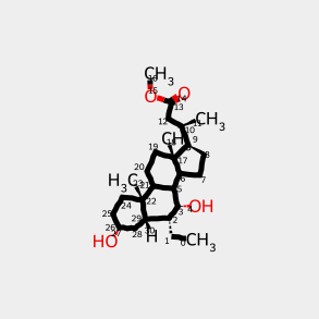 CC[C@H]1[C@@H](O)C2C3CC[C@H]([C@H](C)CC(=O)OC)[C@@]3(C)CCC2[C@@]2(C)CC[C@@H](O)C[C@@H]12